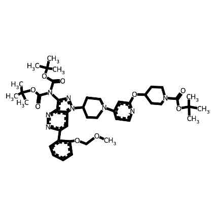 COCOc1ccccc1-c1cc2c(nn1)c(N(C(=O)OC(C)(C)C)C(=O)OC(C)(C)C)nn2C1CCN(c2ccnc(OC3CCN(C(=O)OC(C)(C)C)CC3)c2)CC1